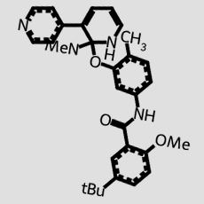 CNC1(Oc2cc(NC(=O)c3cc(C(C)(C)C)ccc3OC)ccc2C)NC=CC=C1c1ccncc1